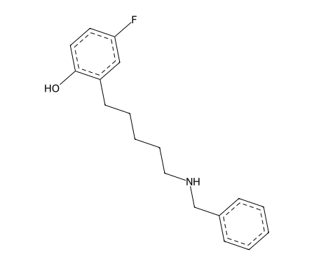 Oc1ccc(F)cc1CCCCCNCc1ccccc1